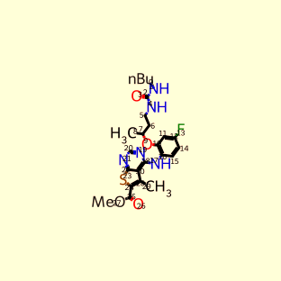 CCCCNC(=O)NCCC(C)Oc1cc(F)ccc1Nc1ncnc2sc(C(=O)OC)c(C)c12